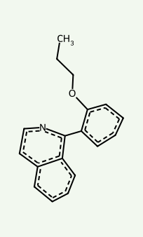 CCCOc1ccccc1-c1nccc2ccccc12